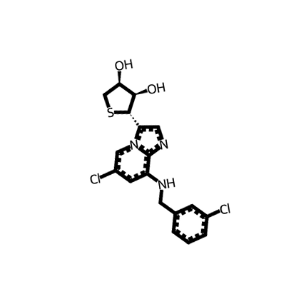 O[C@@H]1[C@H](O)CS[C@H]1c1cnc2c(NCc3cccc(Cl)c3)cc(Cl)cn12